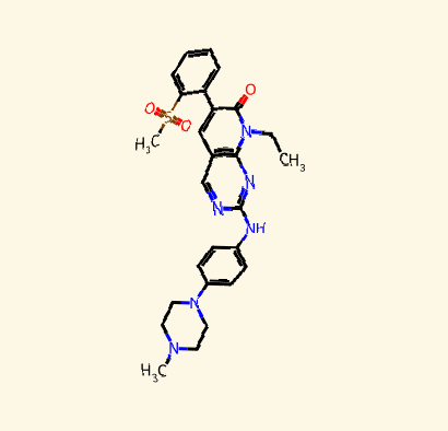 CCn1c(=O)c(-c2ccccc2S(C)(=O)=O)cc2cnc(Nc3ccc(N4CCN(C)CC4)cc3)nc21